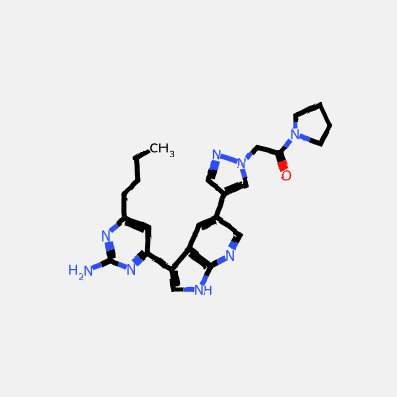 CCCCc1cc(-c2c[nH]c3ncc(-c4cnn(CC(=O)N5CCCC5)c4)cc23)nc(N)n1